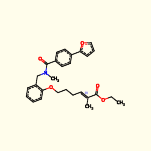 CCOC(=O)/C(C)=C/CCCOc1ccccc1CN(C)C(=O)c1ccc(-c2ccco2)cc1